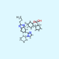 CCCc1nc2ccc(-c3nccn3C3CCCCC3)cc2n1Cc1ccc(-c2ccccc2C(=O)O)cc1